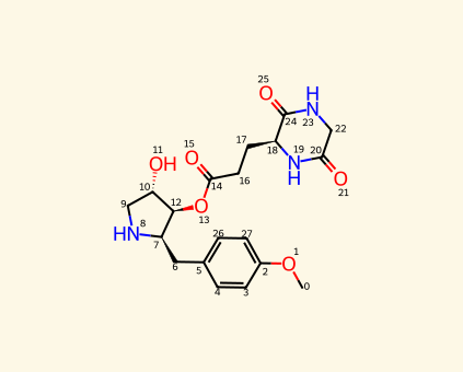 COc1ccc(C[C@H]2NC[C@H](O)[C@H]2OC(=O)CC[C@@H]2NC(=O)CNC2=O)cc1